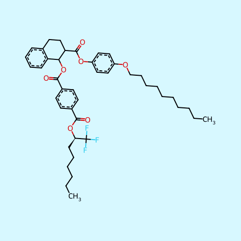 CCCCCCCCCCOc1ccc(OC(=O)C2CCc3ccccc3C2OC(=O)c2ccc(C(=O)O[C@H](CCCCCC)C(F)(F)F)cc2)cc1